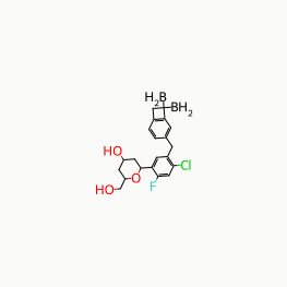 BC1(B)Cc2ccc(Cc3cc(C4CC(O)CC(CO)O4)c(F)cc3Cl)cc21